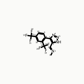 C/N=C/c1[nH]nnc1-c1ccc(C(F)(F)F)cc1C(F)(F)F